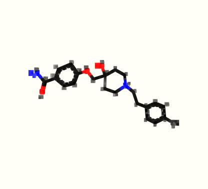 N#Cc1ccc(CCN2CCC(O)(COc3ccc(C(N)=O)cc3)CC2)cc1